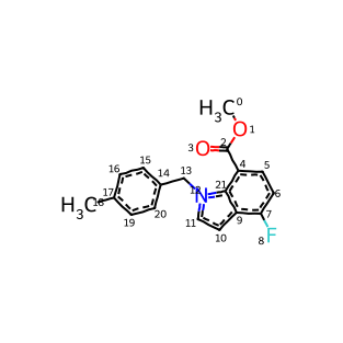 COC(=O)c1ccc(F)c2ccn(Cc3ccc(C)cc3)c12